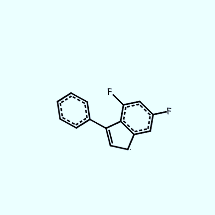 Fc1cc(F)c2c(c1)[CH]C=C2c1ccccc1